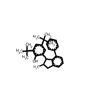 CC1Cc2cccc(-c3ccccc3)c2C1c1cc(C(C)(C)C)cc(C(C)(C)C)c1O